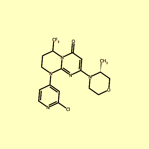 C[C@@H]1COCCN1c1cc(=O)n2c(n1)N(c1ccnc(Cl)c1)CCC2C(F)(F)F